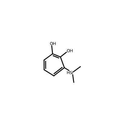 C[SiH](C)c1cccc(O)c1O